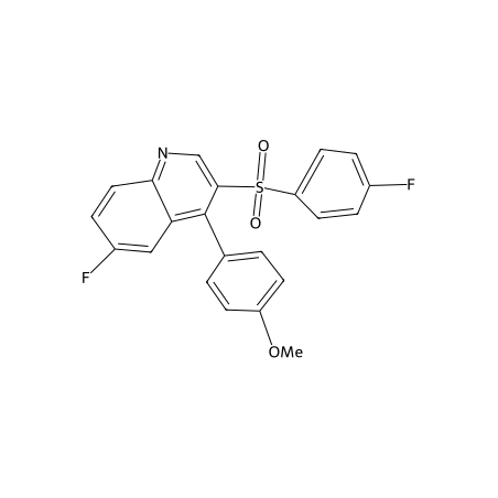 COc1ccc(-c2c(S(=O)(=O)c3ccc(F)cc3)cnc3ccc(F)cc23)cc1